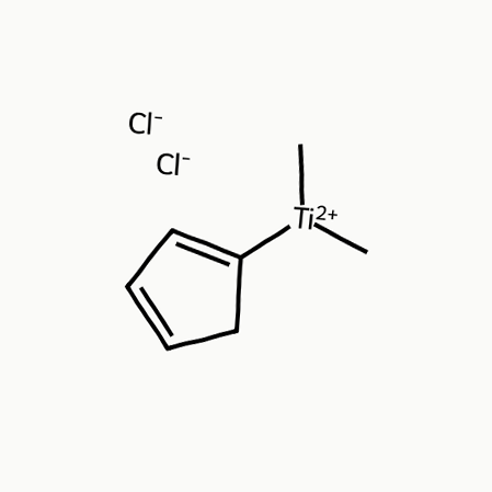 [CH3][Ti+2]([CH3])[C]1=CC=CC1.[Cl-].[Cl-]